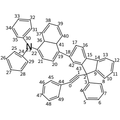 C(#CC1(c2ccccc2)c2ccccc2-c2ccc(C3=CC=C(N(c4ccccc4)c4ccccc4)C4C=CC=CC34)cc21)c1ccccc1